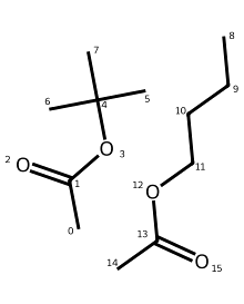 CC(=O)OC(C)(C)C.CCCCOC(C)=O